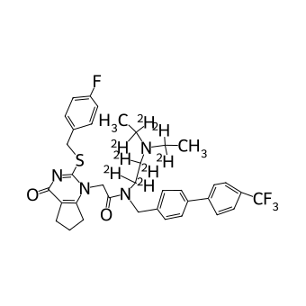 [2H]C([2H])(C)N(C([2H])([2H])C)C([2H])([2H])C([2H])([2H])N(Cc1ccc(-c2ccc(C(F)(F)F)cc2)cc1)C(=O)Cn1c(SCc2ccc(F)cc2)nc(=O)c2c1CCC2